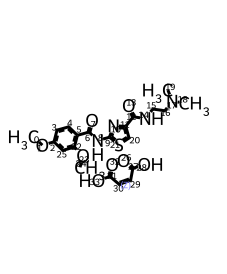 COc1ccc(C(=O)Nc2nc(C(=O)NCCN(C)C)cs2)c(OC)c1.O=C(O)/C=C\C(=O)O